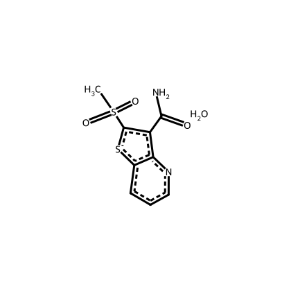 CS(=O)(=O)c1sc2cccnc2c1C(N)=O.O